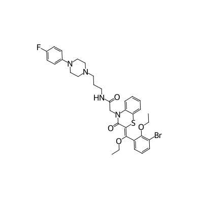 CCOC(=C1Sc2ccccc2N(CC(=O)NCCCN2CCN(c3ccc(F)cc3)CC2)C1=O)c1cccc(Br)c1OCC